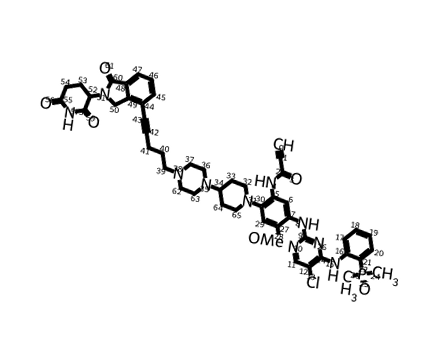 C#CC(=O)Nc1cc(Nc2ncc(Cl)c(Nc3ccccc3P(C)(C)=O)n2)c(OC)cc1N1CCC(N2CCN(CCCC#Cc3cccc4c3CN(C3CCC(=O)NC3=O)C4=O)CC2)CC1